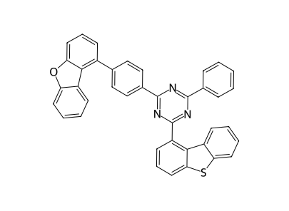 c1ccc(-c2nc(-c3ccc(-c4cccc5oc6ccccc6c45)cc3)nc(-c3cccc4sc5ccccc5c34)n2)cc1